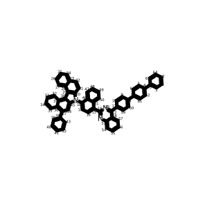 c1ccc(-c2ccc(-c3ccc(-c4nc(-c5ccc(-n6c7ccc8ccccc8c7c7c8ccccc8c(-c8ccccc8)cc76)c6ccccc56)nc5ccccc45)cc3)cc2)cc1